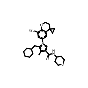 Cc1c(C(=O)NC2CCOCC2)cn(-c2cc(C(C)(C)C)c3c(c2)C2(CCO3)CC2)c1CC1CCCCC1